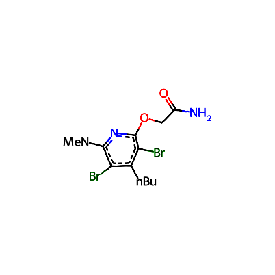 CCCCc1c(Br)c(NC)nc(OCC(N)=O)c1Br